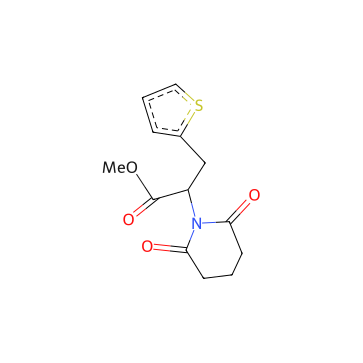 COC(=O)C(Cc1cccs1)N1C(=O)CCCC1=O